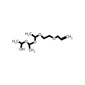 C=CCOCCOC(C)OC(C)OC(C)O